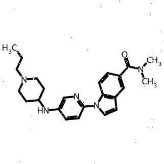 CCCN1CCC(Nc2ccc(-n3ccc4cc(C(=O)N(C)C)ccc43)nc2)CC1